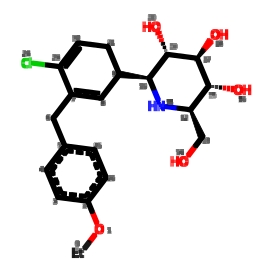 CCOc1ccc(CC2=CC([C@@H]3N[C@H](CO)[C@@H](O)[C@H](O)[C@H]3O)CC=C2Cl)cc1